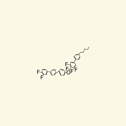 CCCCCc1ccc(-c2cc(F)c(C(F)(F)Oc3ccc(-c4ccc(-c5ccc(F)c(F)c5)cc4)cc3)c(F)c2)cc1